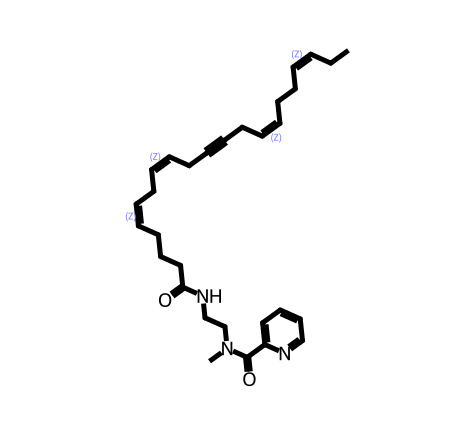 CC/C=C\CC/C=C\CC#CC/C=C\C/C=C\CCCC(=O)NCCN(C)C(=O)c1ccccn1